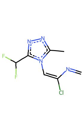 C=N/C(Cl)=C\n1c(C)nnc1C(F)F